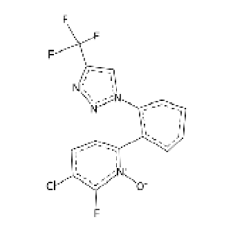 [O-][n+]1c(-c2ccccc2-n2cc(C(F)(F)F)nn2)ccc(Cl)c1F